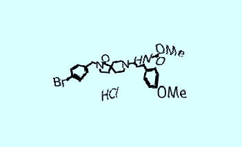 COC(=O)NC(CCN1CCC2(CC1)CCN(Cc1ccc(Br)cc1)C2=O)c1ccc(OC)cc1.Cl